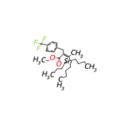 CCC[CH2][Sn]([CH2]CCC)([CH2]CCC)/[C](C)=C(/Cc1ccc(C(F)(F)F)cc1)C(=O)OCC